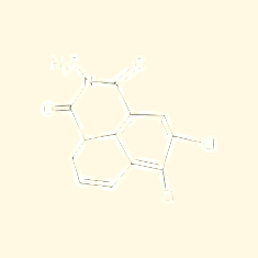 CN1C(=O)c2cc(Cl)c(Cl)c3c2C(CC=C3)C1=O